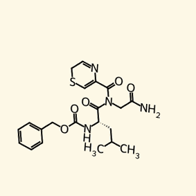 CC(C)C[C@H](NC(=O)OCc1ccccc1)C(=O)N(CC(N)=O)C(=O)C1=CSCC=N1